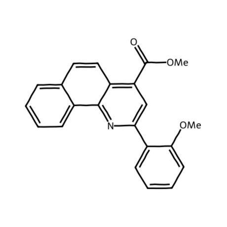 COC(=O)c1cc(-c2ccccc2OC)nc2c1ccc1ccccc12